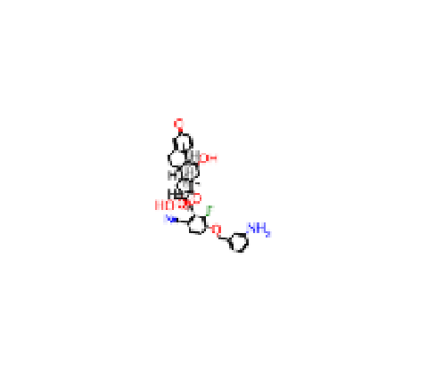 C[C@]12C=CC(=O)C=C1CC[C@@H]1[C@@H]2[C@@H](O)C[C@@]2(C)[C@H]1C[C@H]1O[C@H](c3c(C#N)ccc(OCc4cccc(N)c4)c3F)O[C@]12C(=O)CO